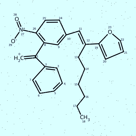 C=C(c1ccccc1)c1cc(C=C(CCCCCC)c2ccco2)ccc1[N+](=O)[O-]